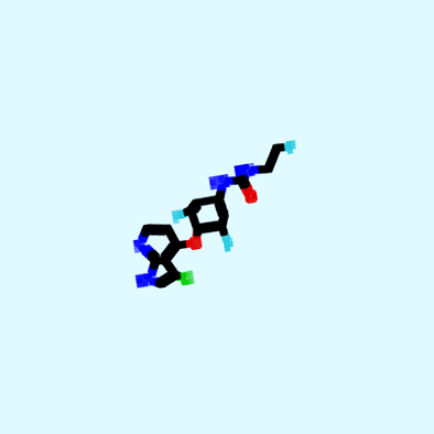 O=C(NCCF)Nc1cc(F)c(Oc2ccnc3[nH]cc(Cl)c23)c(F)c1